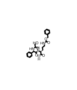 O=C(CO)N[C@@H](C(=O)N[C@@H](CCCNC(=O)OCc1ccccc1)C(=O)O)c1ccccc1